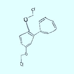 ClCOc1ccc(OCCl)c(-c2ccccc2)c1